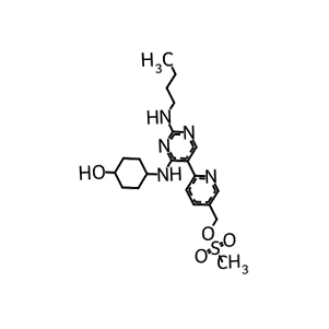 CCCCNc1ncc(-c2ccc(COS(C)(=O)=O)cn2)c(NC2CCC(O)CC2)n1